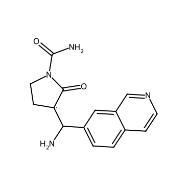 NC(=O)N1CC[C](C(N)c2ccc3ccncc3c2)C1=O